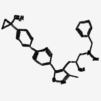 CC(=O)N(Cc1ccccc1)CC(O)Cc1c(C)noc1-c1ccc(-c2ccc(C3(C(=O)O)CC3)cc2)cc1